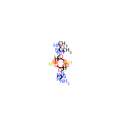 C=Nc1c(C(=O)NC)ncn1C1OC2COP(=O)(S)O[C@@H]3C(COP(=O)(S)O[C@H]2[C@H]1F)OC(n1cnc2c(N)ncnc21)[C@@H]3F